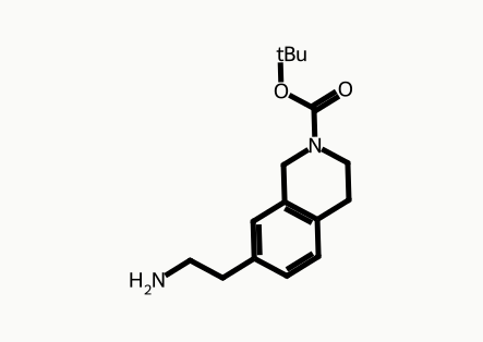 CC(C)(C)OC(=O)N1CCc2ccc(CCN)cc2C1